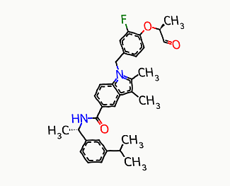 Cc1c(C)n(Cc2ccc(O[C@@H](C)C=O)c(F)c2)c2ccc(C(=O)N[C@@H](C)c3cccc(C(C)C)c3)cc12